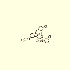 CCOc1ccc2c(c1)c(C(=O)C(=O)Nc1cccc(Cl)c1)c(Cl)n2Cc1ccc(Cl)cc1